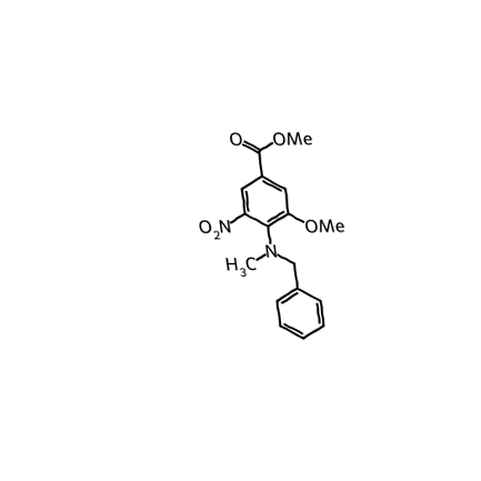 COC(=O)c1cc(OC)c(N(C)Cc2ccccc2)c([N+](=O)[O-])c1